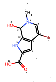 CN1C=C(Br)c2cc(C(=O)O)[nH]c2C1O